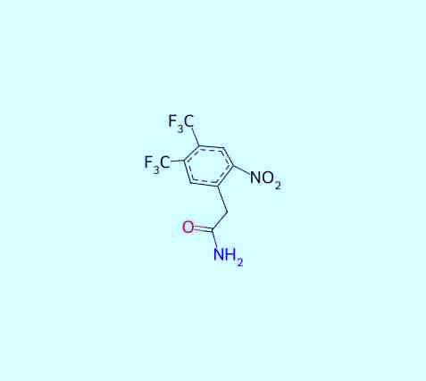 NC(=O)Cc1cc(C(F)(F)F)c(C(F)(F)F)cc1[N+](=O)[O-]